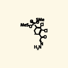 CSOP(=O)(OSC)C1=C(Cl)C(Cl)=C(C(=O)C=NN)[CH]C1